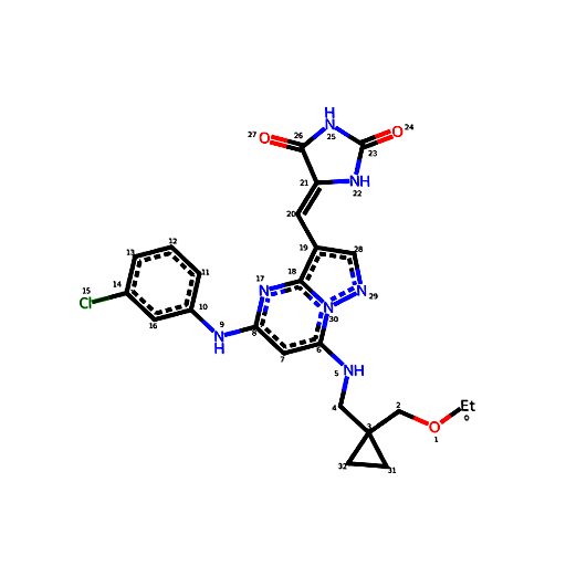 CCOCC1(CNc2cc(Nc3cccc(Cl)c3)nc3c(/C=C4\NC(=O)NC4=O)cnn23)CC1